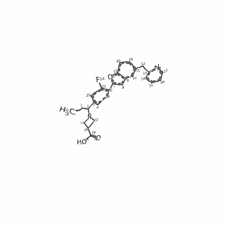 CCC(c1ccc(-c2cc3cc(Cc4ccccn4)ccc3o2)c(F)c1)N1CC(C(=O)O)C1